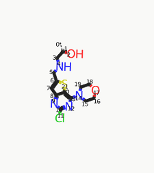 C[C@H](O)CNCc1cc2nc(Cl)nc(N3CCOCC3)c2s1